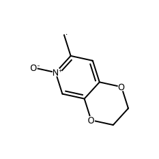 [CH2]c1cc2c(c[n+]1[O-])OCCO2